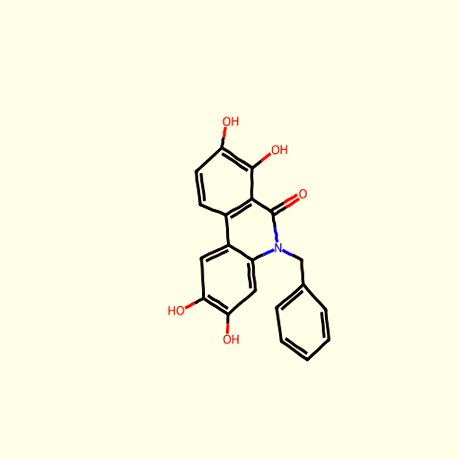 O=c1c2c(O)c(O)ccc2c2cc(O)c(O)cc2n1Cc1ccccc1